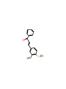 CCCc1cc(/C=C/C(=O)c2ccccc2)ccc1SCC